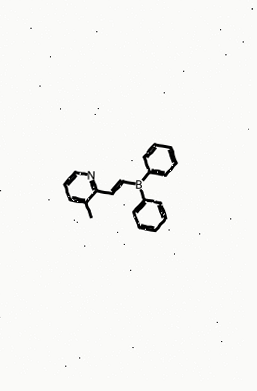 Cc1cccnc1C=CB(c1ccccc1)c1ccccc1